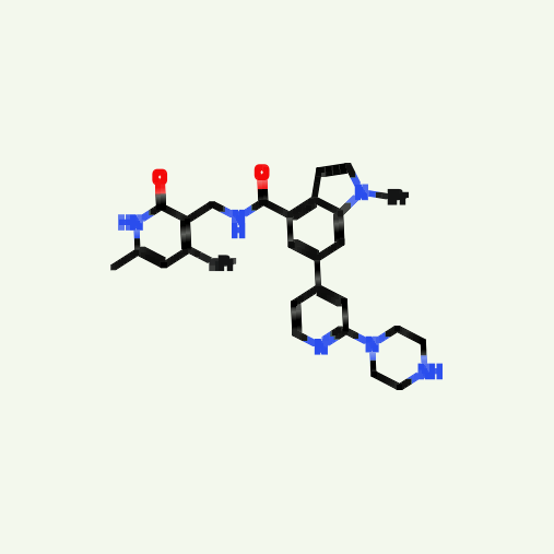 CCCc1cc(C)[nH]c(=O)c1CNC(=O)c1cc(-c2ccnc(N3CCNCC3)c2)cc2c1ccn2C(C)C